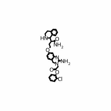 NC(=O)C(CCOc1ccc2c(c1)N=C(N)N(CC(=O)Oc1ccccc1Cl)C2)C1NCCc2ccccc21